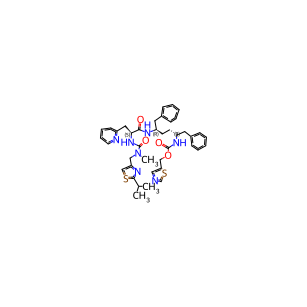 CC(C)c1nc(CN(C)C(=O)N[C@@H](Cc2ccccn2)C(=O)N[C@H](CC[C@H](Cc2ccccc2)NC(=O)OCc2cncs2)Cc2ccccc2)cs1